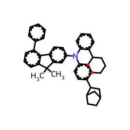 CC1(C)c2cc(N(c3ccc(C4CC5CCC4C5)cc3)c3ccccc3C3CCCCC3)ccc2-c2c(-c3ccccc3)cccc21